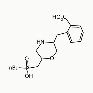 CCCCP(=O)(O)CC1CNC(Cc2ccccc2C(=O)O)CO1